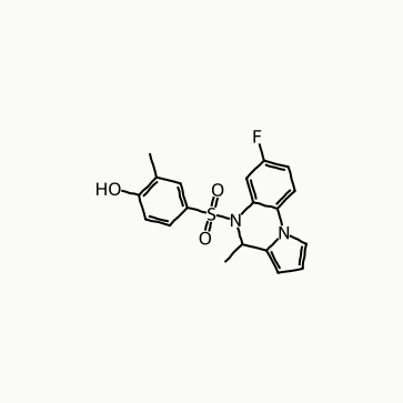 Cc1cc(S(=O)(=O)N2c3cc(F)ccc3-n3cccc3C2C)ccc1O